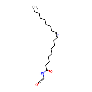 CCCCCCCC/C=C\CCCCCCCC(=O)NC=C=O